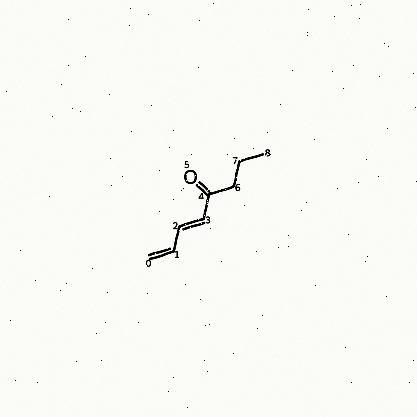 C=C/C=C/C(=O)CCC